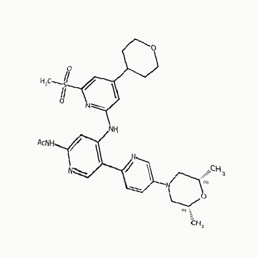 CC(=O)Nc1cc(Nc2cc(C3CCOCC3)cc(S(C)(=O)=O)n2)c(-c2ccc(N3C[C@@H](C)O[C@@H](C)C3)cn2)cn1